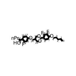 C=CCCCOc1ccc(C2OCC(COc3ccc(C(O)CCC)c(F)c3)CO2)c(F)c1F